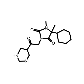 CN1C(=O)N(CC(=O)C2CNCNC2)C(=O)C1(C)C1CCCCC1